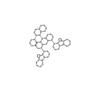 c1ccc(-c2ccc3ccccc3c2-c2c3cccc(-c4cccc5c4oc4ccccc45)c3cc3c(-c4cccc5c4oc4ccccc45)cccc23)cc1